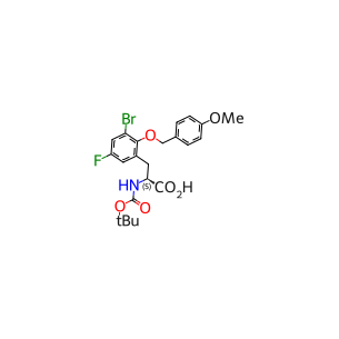 COc1ccc(COc2c(Br)cc(F)cc2C[C@H](NC(=O)OC(C)(C)C)C(=O)O)cc1